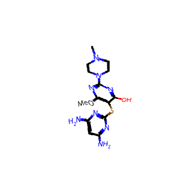 COc1nc(N2CCN(C)CC2)nc(O)c1Sc1nc(N)cc(N)n1